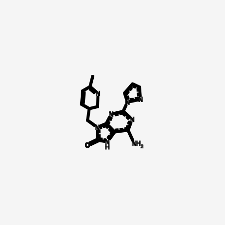 CC1=NCC(Cn2c(=O)[nH]c3c(N)nc(-n4cccn4)nc32)C=C1